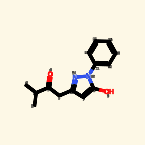 CC(C)C(=O)Cc1cc(O)n(-c2ccccc2)n1